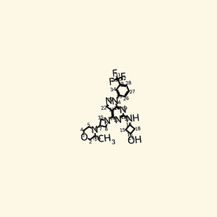 C[C@H]1COCCN1C1CN(c2nc(N[C@H]3C[C@@H](O)C3)nc3c2cnn3-c2cccc(C(F)(F)F)c2)C1